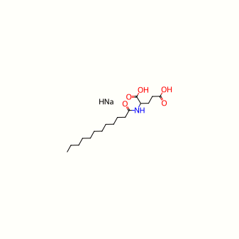 CCCCCCCCCCCC(=O)NC(CCC(=O)O)C(=O)O.[NaH]